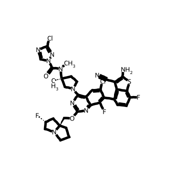 CN(C(=O)n1cnc(Cl)n1)[C@@]1(C)CCN(c2nc(OC[C@@]34CCCN3C[C@H](F)C4)nc3c(F)c(-c4ccc(F)c5sc(N)c(C#N)c45)c(Cl)cc23)C1